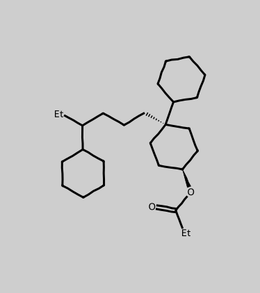 CCC(=O)O[C@H]1CC[C@@](CCCC(CC)C2CCCCC2)(C2CCCCC2)CC1